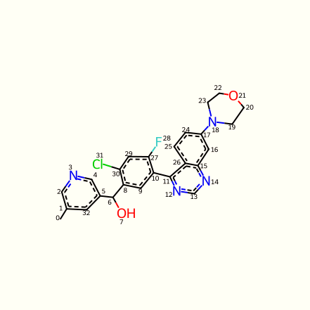 Cc1cncc(C(O)c2cc(-c3ncnc4cc(N5CCOCC5)ccc34)c(F)cc2Cl)c1